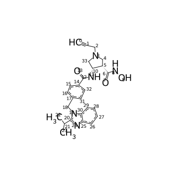 C#CCN1C[C@H](C(=O)NO)[C@H](NC(=O)c2ccc(Cn3c(C(C)C)nc4ccccc43)cc2)C1